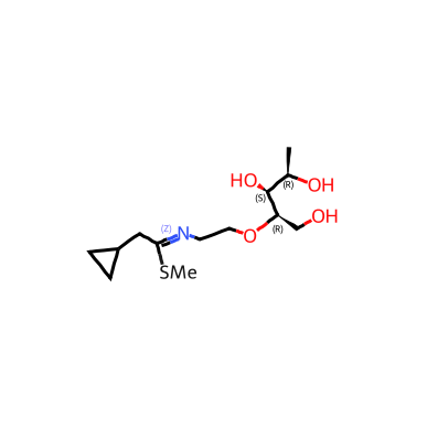 CS/C(CC1CC1)=N\CCO[C@H](CO)[C@@H](O)[C@@H](C)O